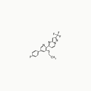 CCSc1cc(-c2ccc(F)cc2)cnc1-c1ccn2nc(C(F)(F)F)cc2n1